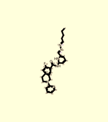 CCCC/C=N/N=C/C1=CC=CC(NC(=O)c2cc3c(cc2F)CCN(c2ccccn2)C3)N1